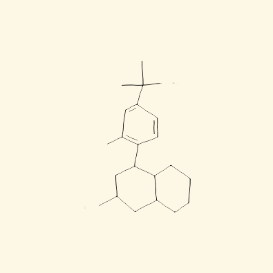 CCCCCCC(C)(C)c1ccc(C2CC(OC(C)=O)CC3CCCCC32)c(OC(C)=O)c1